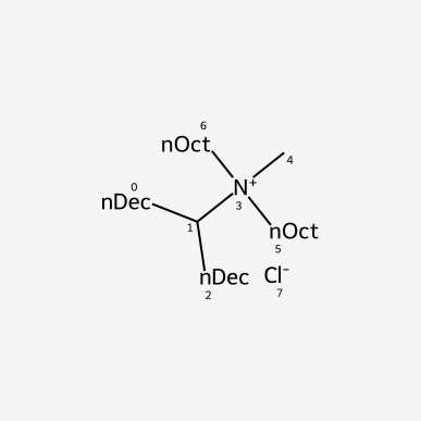 CCCCCCCCCCC(CCCCCCCCCC)[N+](C)(CCCCCCCC)CCCCCCCC.[Cl-]